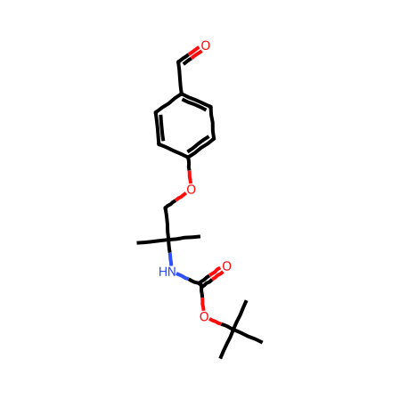 CC(C)(COc1ccc(C=O)cc1)NC(=O)OC(C)(C)C